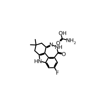 CC1(C)CC2=NNC(=O)c3cc(F)cc4[nH]c(c2c34)C1.NC(=O)O